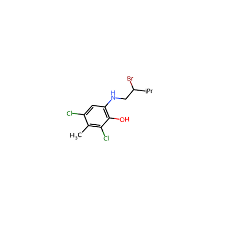 Cc1c(Cl)cc(NCC(Br)C(C)C)c(O)c1Cl